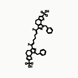 O=S(=O)(O)c1cc2c(s1)-c1c(c(/C(F)=C/CCC/C=C(\F)c3nn(Cc4ccccc4)c4c3CCc3cc(S(=O)(=O)O)sc3-4)nn1Cc1ccccc1)CC2